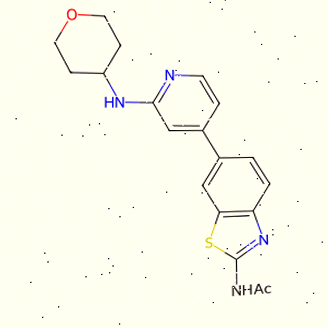 CC(=O)Nc1nc2ccc(-c3ccnc(NC4CCOCC4)c3)cc2s1